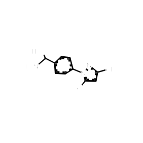 CC(N)c1ccc(-n2nc(C(F)(F)F)cc2C(F)(F)F)cc1